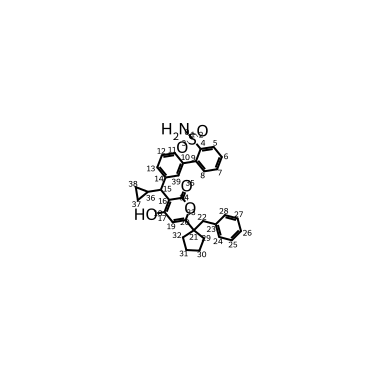 NS(=O)(=O)c1ccccc1-c1cccc(C(c2c(O)cc(C3(Cc4ccccc4)CCCC3)oc2=O)C2CC2)c1